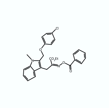 CCOC(=O)/C(Cc1c(COc2ccc(Cl)cc2)n(C)c2ccccc12)=N\OC(=O)c1ccccc1